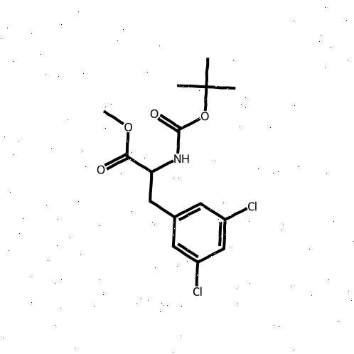 COC(=O)C(Cc1cc(Cl)cc(Cl)c1)NC(=O)OC(C)(C)C